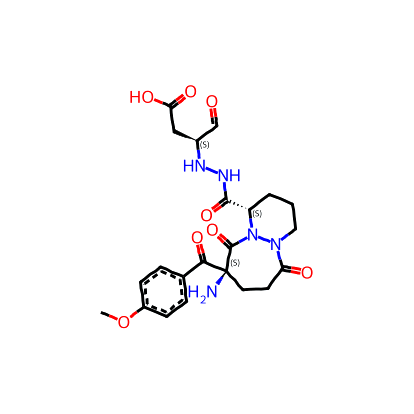 COc1ccc(C(=O)[C@@]2(N)CCC(=O)N3CCC[C@@H](C(=O)NN[C@H](C=O)CC(=O)O)N3C2=O)cc1